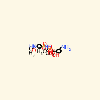 CC(=O)Nc1ccc(S(=O)(=O)NC(C(C)C)P(=O)(O)CC(C(=O)O)c2cccc(CN)c2)cc1